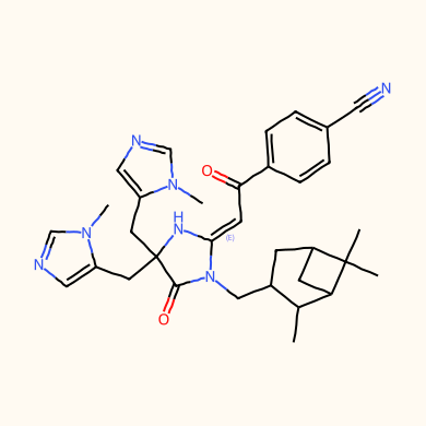 CC1C(CN2C(=O)C(Cc3cncn3C)(Cc3cncn3C)N/C2=C\C(=O)c2ccc(C#N)cc2)CC2CC1C2(C)C